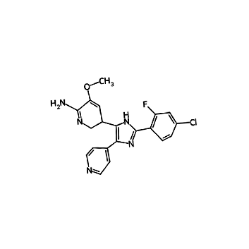 COC1=CC(c2[nH]c(-c3ccc(Cl)cc3F)nc2-c2ccncc2)CN=C1N